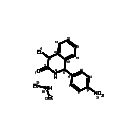 CCC1C(=O)NC(c2ccc([N+](=O)[O-])cc2)c2ccccc21.CCNCC